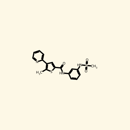 Cc1sc(C(=O)Nc2cccc(NS(C)(=O)=O)c2)cc1-c1ccccn1